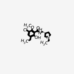 CCc1cc(Cl)c(OC)c(C(=O)NC[C@@H]2CCN(CC)C2)c1O